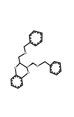 c1ccc(COCC2Oc3ccccc3O[C@@H]2COCc2ccccc2)cc1